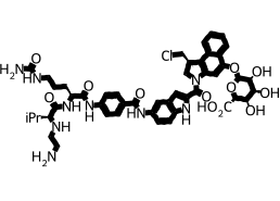 CC(C)[C@H](NCCN)C(=O)N[C@@H](CCCNC(N)=O)C(=O)Nc1ccc(C(=O)Nc2ccc3[nH]c(C(=O)N4C[C@@H](CCl)c5c4cc(OC4O[C@H](C(=O)O)[C@@H](O)[C@H](O)[C@H]4O)c4ccccc54)cc3c2)cc1